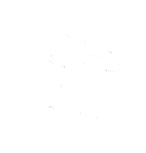 N#Cc1cnn(-c2nc3[nH]ccc(=O)c3cc2-c2cc(Cl)c3nccn3c2)c1